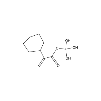 C=C(C(=O)OC(O)(O)O)C1CCCCC1